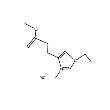 CCn1cc(CCC(=O)OC)[n+](C)c1.[Br-]